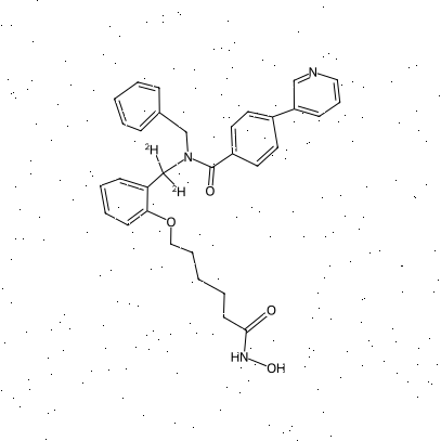 [2H]C([2H])(c1ccccc1OCCCCCC(=O)NO)N(Cc1ccccc1)C(=O)c1ccc(-c2cccnc2)cc1